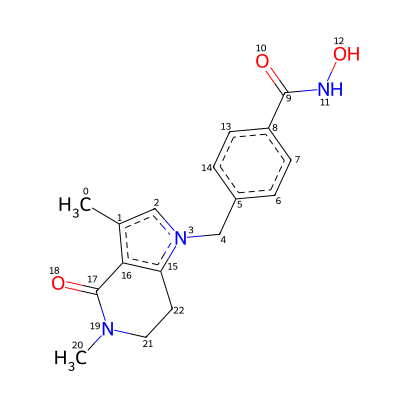 Cc1cn(Cc2ccc(C(=O)NO)cc2)c2c1C(=O)N(C)CC2